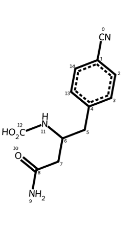 N#Cc1ccc(CC(CC(N)=O)NC(=O)O)cc1